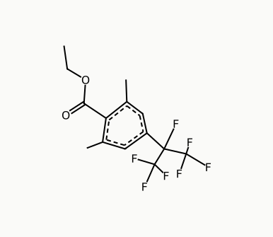 CCOC(=O)c1c(C)cc(C(F)(C(F)(F)F)C(F)(F)F)cc1C